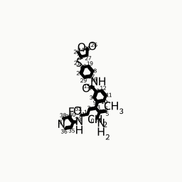 C=C(/C=C(\C(=C/C)CN)c1cccc(C(=O)Nc2ccc(SC3COC(=O)C3)cc2)c1)C(=O)Nc1ccncc1F